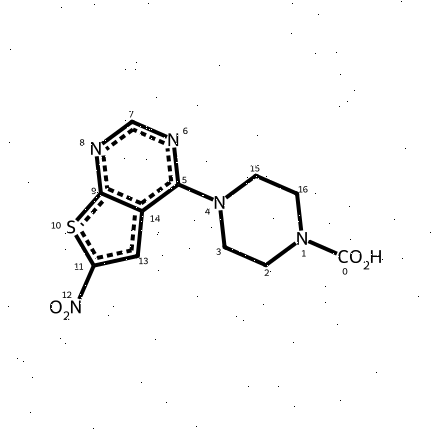 O=C(O)N1CCN(c2ncnc3sc([N+](=O)[O-])cc23)CC1